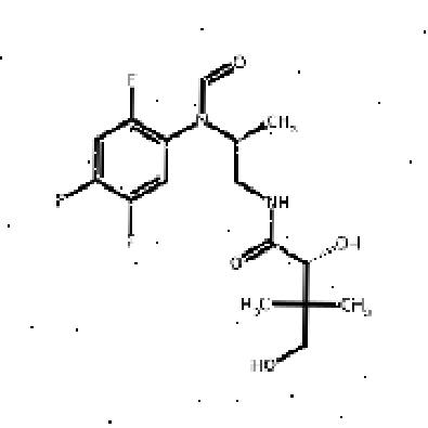 C[C@@H](CNC(=O)[C@H](O)C(C)(C)CO)N(C=O)c1cc(F)c(F)cc1F